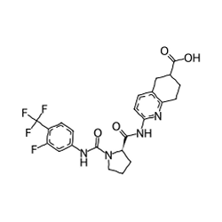 O=C(O)C1CCc2nc(NC(=O)[C@H]3CCCN3C(=O)Nc3ccc(C(F)(F)F)c(F)c3)ccc2C1